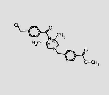 COC(=O)c1ccc(CN2C[C@@H](C)N(C(=O)c3ccc(CCl)cc3)[C@@H](C)C2)cc1